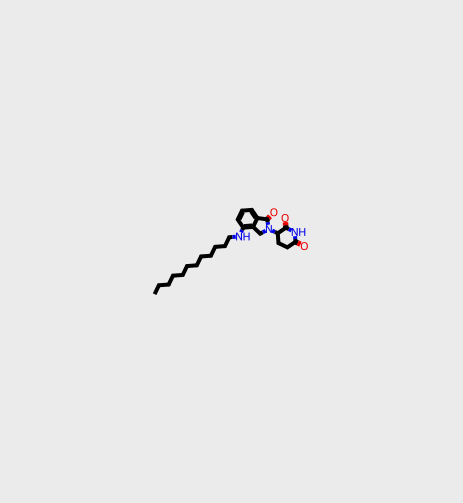 CCCCCCCCCCCCNc1cccc2c1CN(C1CCC(=O)NC1=O)C2=O